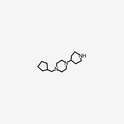 C1CCC(CN2CCN(C3CCNCC3)CC2)C1